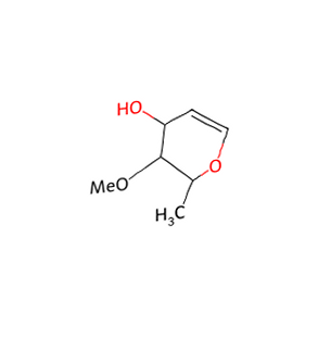 COC1C(O)C=COC1C